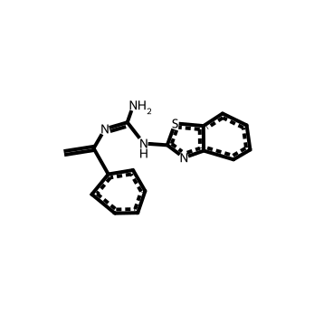 C=C(/N=C(/N)Nc1nc2ccccc2s1)c1ccccc1